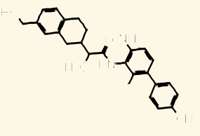 Cc1ccc(-c2ccc(N)c(NC(=O)C(C)C3CCc4ccc(CO)cc4C3)c2I)cc1